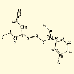 CCOC(CCCN(CC)c1cccc(C)c1)OC=O